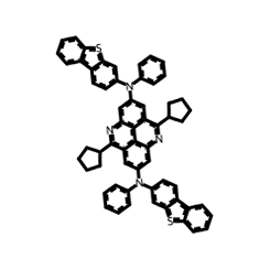 c1ccc(N(c2ccc3c(c2)sc2ccccc23)c2cc3nc(C4CCCC4)c4cc(N(c5ccccc5)c5ccc6c(c5)sc5ccccc56)cc5nc(C6CCCC6)c(c2)c3c54)cc1